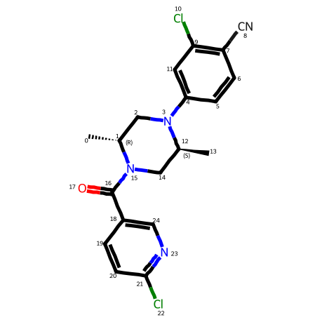 C[C@@H]1CN(c2ccc(C#N)c(Cl)c2)[C@@H](C)CN1C(=O)c1ccc(Cl)nc1